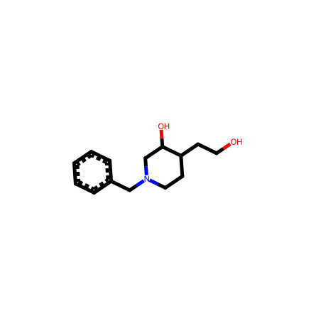 OCCC1CCN(Cc2ccccc2)CC1O